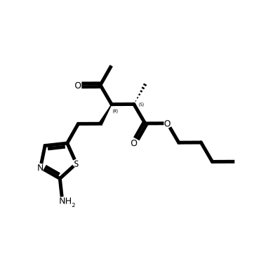 CCCCOC(=O)[C@@H](C)[C@@H](CCc1cnc(N)s1)C(C)=O